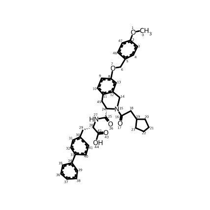 COc1ccc(COc2ccc3c(c2)CN(C(=O)CC2CCCC2)[C@H](C(=O)N[C@@H](Cc2ccc(-c4ccccc4)cc2)C(=O)O)C3)cc1